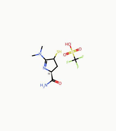 CN(C)C1=N[C@H](C(N)=O)CC1S.O=S(=O)(O)C(F)(F)F